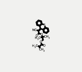 C=C(C)C(=O)OCC(C)(C)OC(=O)C(C#N)=C1c2ccccc2Sc2ccccc21